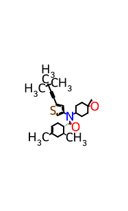 CC1=CC[C@H](C(=O)N(c2csc(C#CC(C)(C)C)c2)C2CCC3(CC2)CO3)[C@@H](C)C1